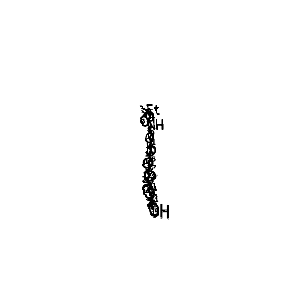 CCC(C)(C)OC(=O)NCCOCCOCCOCCOCCOCCO